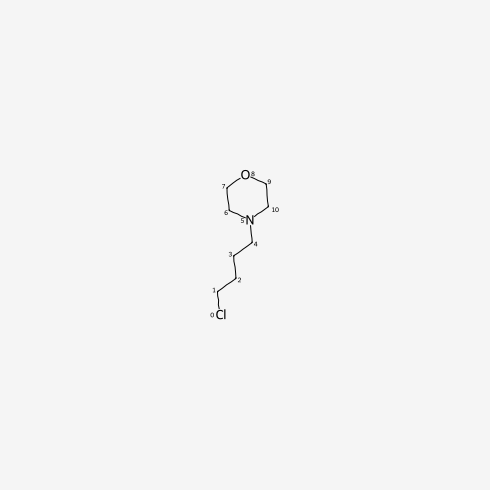 ClCCCCN1CCOCC1